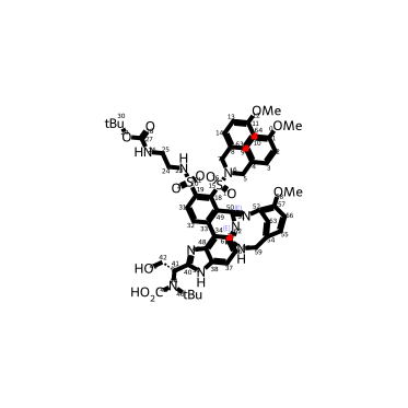 COc1ccc(CN(Cc2ccc(OC)cc2)S(=O)(=O)c2c(S(=O)(=O)NCCNC(=O)OC(C)(C)C)ccc(-c3cccc4[nH]c([C@@H](CO)N(C(=O)O)C(C)(C)C)nc34)c2C2=N\c3cc(ccc3OC)CN\N=N\2)cc1